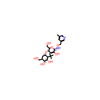 Cc1cncc(CON[C@@H]2OC(CO)[C@@H](O[C@@H]3CC(CO)[C@H](O)[C@@H](O)C3C(C)(C)C)C=C2O)c1